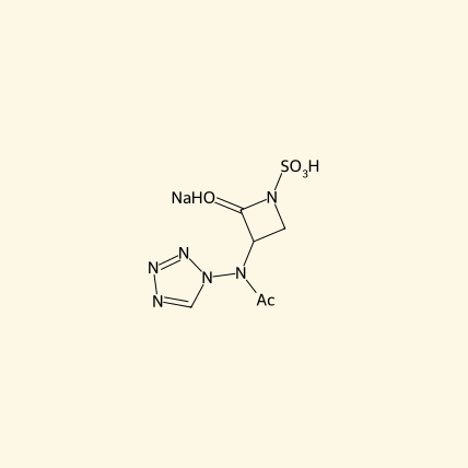 CC(=O)N(C1CN(S(=O)(=O)O)C1=O)n1cnnn1.[NaH]